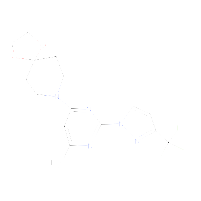 Cc1cc(N2CCC3(CC2)OCCO3)nc(-n2ccc(C(F)(F)F)n2)n1